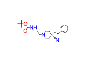 CC(C)(C)OC(=O)NCCCN1CCC(C#N)(CCc2ccccc2)CC1